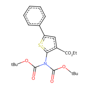 CCOC(=O)c1cc(-c2ccccc2)sc1N(C(=O)OC(C)(C)C)C(=O)OC(C)(C)C